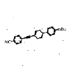 CCCCc1ccc(C2CC=C(C#Cc3ccc(C#N)cc3)CC2)cc1